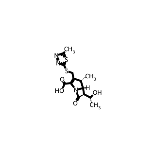 Cc1nnc(SCC2=C(C(=O)O)N3C(=O)[C@H]([C@@H](C)O)[C@H]3[C@H]2C)s1